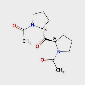 CC(=O)N1CCC[C@@H]1C(=O)[C@H]1CCCN1C(C)=O